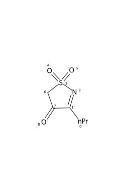 CCCC1=NS(=O)(=O)CC1=O